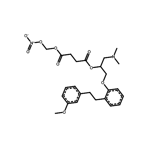 COc1cccc(CCc2ccccc2OCC(CN(C)C)OC(=O)CCC(=O)OCO[N+](=O)[O-])c1